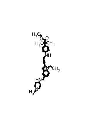 CCOC(=O)C(C)(C)c1ccc(NCC#Cc2cc3cc(CNC4CCN(C)CC4)ccc3n2CC)cc1